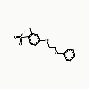 Cc1cc(NCCOc2ccccc2)ccc1S(=O)(=O)Cl